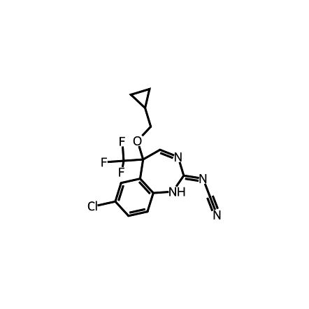 N#CN=C1N=CC(OCC2CC2)(C(F)(F)F)c2cc(Cl)ccc2N1